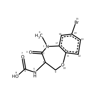 CN1C(=O)C(NC(=O)O)COc2ccc(Br)cc21